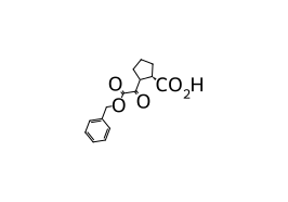 O=C(OCc1ccccc1)C(=O)C1CCC[C@H]1C(=O)O